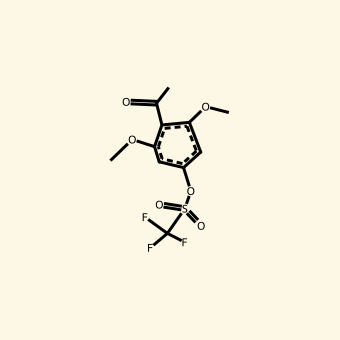 COc1cc(OS(=O)(=O)C(F)(F)F)cc(OC)c1C(C)=O